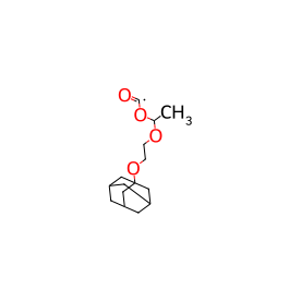 CC(O[C]=O)OCCOC12CC3CC(CC(C3)C1)C2